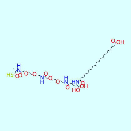 C[C@H](NC(=O)COCCOCCNC(=O)COCCOCCNC(=O)CC[C@H](NC(=O)CCCCCCCCCCCCCCCCCCC(=O)O)C(O)O)C(=O)S